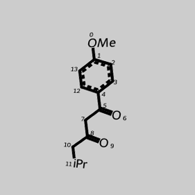 COc1ccc(C(=O)CC(=O)CC(C)C)cc1